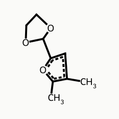 Cc1cc(C2OCCO2)oc1C